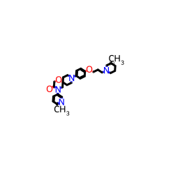 Cc1ccc(N2CC3(CCN(c4ccc(OCCCN5CCC[C@H](C)C5)cc4)CC3)OCC2=O)cn1